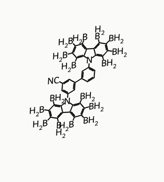 Bc1c(B)c(B)c2c(c1B)c1c(B)c(B)c(B)c(B)c1n2-c1cccc(-c2cc(C#N)cc(-n3c4c(B)c(B)c(B)c(B)c4c4c(B)c(B)c(B)c(B)c43)c2)c1